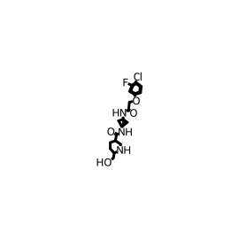 O=C(COc1ccc(Cl)c(F)c1)NC12CC(NC(=O)C3CCC(CO)NC3)(C1)C2